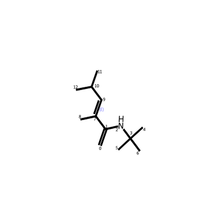 C=C(NC(C)(C)C)/C(C)=C/C(C)C